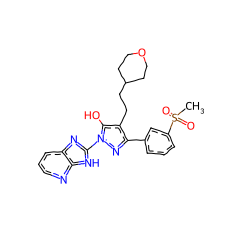 CS(=O)(=O)c1cccc(-c2nn(-c3nc4cccnc4[nH]3)c(O)c2CCC2CCOCC2)c1